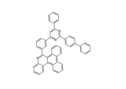 c1ccc(-c2ccc(-c3nc(-c4ccccc4)cc(-c4cccc(-c5nc6ccccc6c6c7ccccc7c7ccccc7c56)c4)n3)cc2)cc1